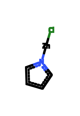 [Cl][Zn][n]1cccc1